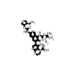 COC1COCC1OC(=O)Nc1cc2cc(-c3cnc4c(c3C)N(C(=O)O)CCO4)c(F)c(NC(=O)OC(C)(C)C)c2cn1